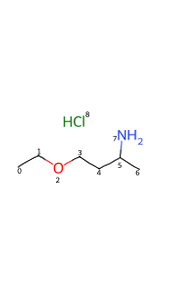 CCOCCC(C)N.Cl